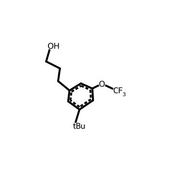 CC(C)(C)c1cc(CCCO)cc(OC(F)(F)F)c1